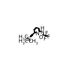 C[Si](C)(C)C#Cc1cccc(NC(=O)C(F)(F)F)n1